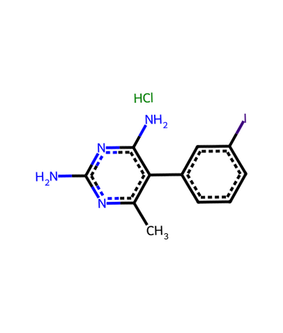 Cc1nc(N)nc(N)c1-c1cccc(I)c1.Cl